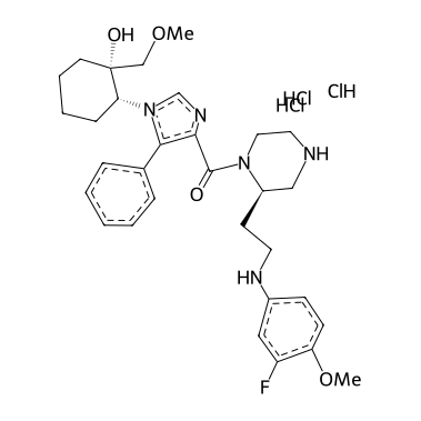 COC[C@]1(O)CCCC[C@H]1n1cnc(C(=O)N2CCNC[C@H]2CCNc2ccc(OC)c(F)c2)c1-c1ccccc1.Cl.Cl.Cl